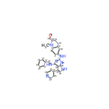 CN1c2ccc(Nc3nc(NCc4ccccc4)c4c(-c5ccncc5)c[nH]c4n3)cc2CCC1C=O